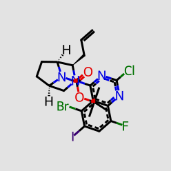 C=CC[C@@H]1[C@@H]2CC[C@H](CN1c1nc(Cl)nc3c(F)cc(I)c(Br)c13)N2C(=O)OC(C)(C)C